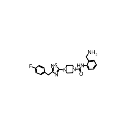 NCc1ccccc1NC(=O)N1CCN(c2nc(Cc3ccc(F)cc3)ns2)CC1